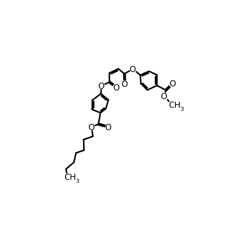 CCCCCCCOC(=O)c1ccc(OC(=O)/C=C\C(=O)Oc2ccc(C(=O)OC)cc2)cc1